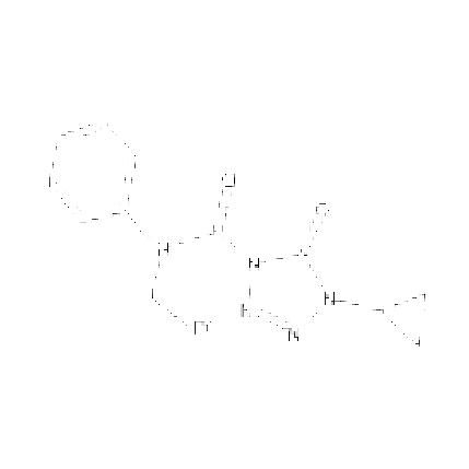 CC(C)CN(C(=O)n1nnn(C2CC2)c1=O)c1ccccc1